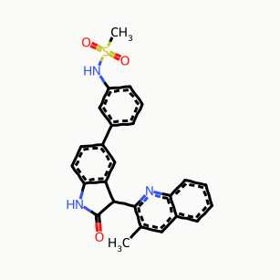 Cc1cc2ccccc2nc1C1C(=O)Nc2ccc(-c3cccc(NS(C)(=O)=O)c3)cc21